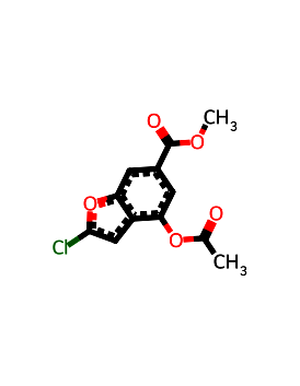 COC(=O)c1cc(OC(C)=O)c2cc(Cl)oc2c1